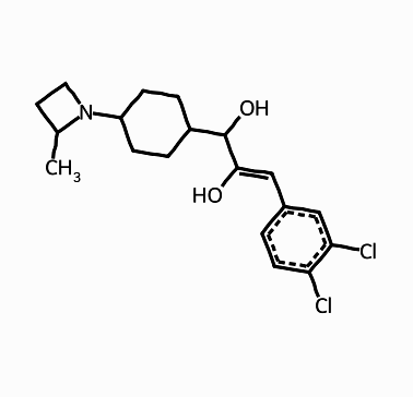 CC1CCN1C1CCC(C(O)C(O)=Cc2ccc(Cl)c(Cl)c2)CC1